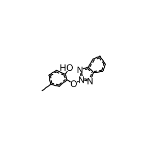 Cc1ccc(O)c(On2nc3ccccc3n2)c1